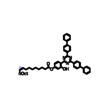 CCCCCCCC/C=C\CCCCCCCC(=O)Oc1ccc(-c2nc(-c3ccc(-c4ccccc4)cc3)nc(-c3ccc(-c4ccccc4)cc3)n2)c(O)c1